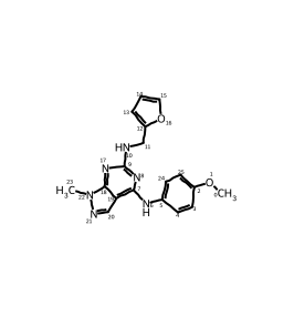 COc1ccc(Nc2nc(NCc3ccco3)nc3c2cnn3C)cc1